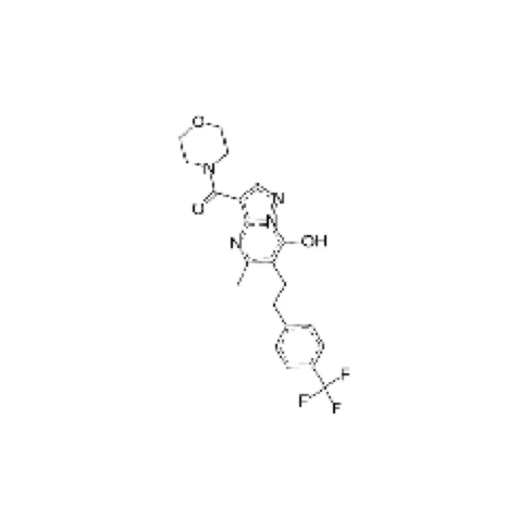 Cc1nc2c(C(=O)N3CCOCC3)cnn2c(O)c1CCc1ccc(C(F)(F)F)cc1